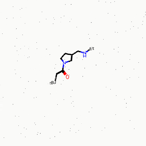 CCNCC1CCN(C(=O)CC(C)(C)C)C1